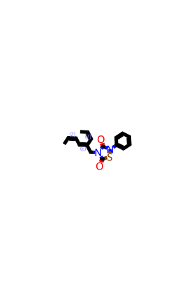 C\C=C/C=C(\C=C/C)Cn1c(=O)sn(-c2ccccc2)c1=O